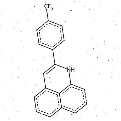 FC(F)(F)c1ccc(C2=Cc3cccc4cccc(c34)N2)cc1